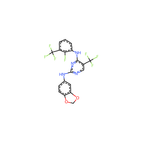 Fc1c(Nc2nc(Nc3ccc4c(c3)OCO4)ncc2C(F)(F)F)cccc1C(F)(F)F